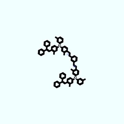 Cc1cccc(N(c2ccc(C=C(c3ccccc3)c3ccccc3)c(C)c2)c2ccc(/C=C/c3cccc(/C=C/c4ccc(N(c5cccc(C)c5)c5ccc(C=C(c6ccccc6)c6ccccc6)c(C)c5)cc4C)c3)c(C)c2)c1